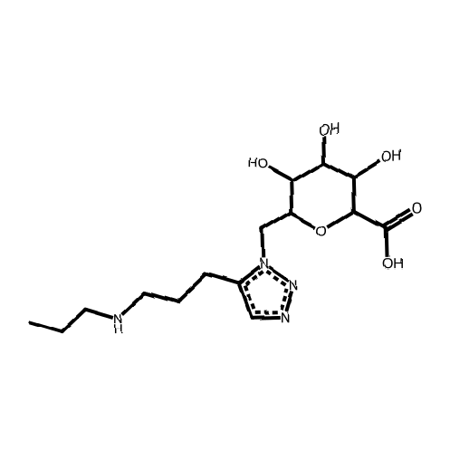 CCCNCCCc1cnnn1CC1OC(C(=O)O)C(O)C(O)C1O